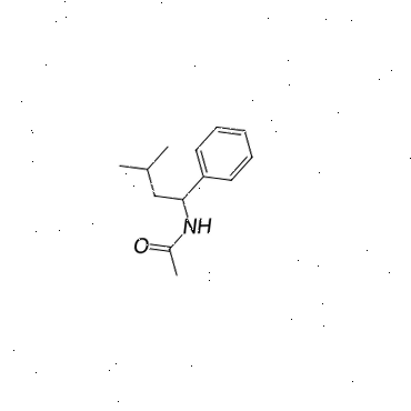 CC(=O)NC(CC(C)C)c1ccccc1